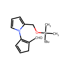 CC(C)(C)[Si](C)(C)OCc1cccn1C1=C(C=O)CC=C1